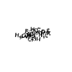 Cc1ncsc1-c1ccc(C(C)NC(=O)C2CC(O)CN2C(=O)C(c2cc(O)[n+](CC(C)(C)C(C)C)o2)C(C)C)cc1